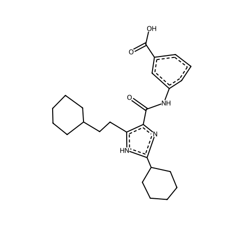 O=C(O)c1cccc(NC(=O)c2nc(C3CCCCC3)[nH]c2CCC2CCCCC2)c1